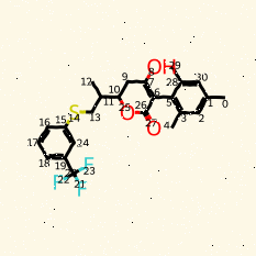 Cc1cc(C)c(C2=C(O)CC(C(C)CSc3cccc(C(F)(F)F)c3)OC2=O)c(C)c1